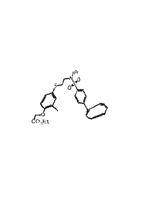 CCCN(CCSc1ccc(OCC(=O)OCC)c(C)c1)S(=O)(=O)c1ccc(-c2ccccc2)cc1